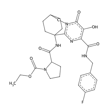 CCOC(=O)N1CCCC1C(=O)NC12CCC(CC1)Cn1c2nc(C(=O)NCc2ccc(F)cc2)c(O)c1=O